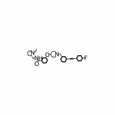 CCN1CCC[C@@H]1CNC(=O)c1cccc(OC2CCN(Cc3cccc(C#Cc4ccc(F)cc4)c3)CC2)c1